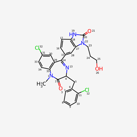 CN1C(=O)C(Cc2ccccc2Cl)N=C(c2ccc3[nH]c(=O)n(CCCO)c3c2)c2cc(Cl)ccc21